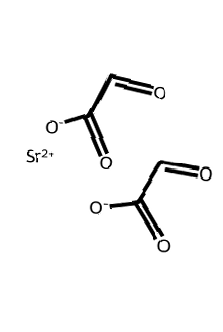 O=CC(=O)[O-].O=CC(=O)[O-].[Sr+2]